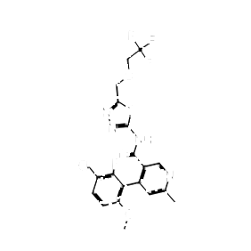 COc1ccc(Cl)c(F)c1-c1cc(C)ncc1C(=O)Nc1nnc(COCC(F)(F)F)s1